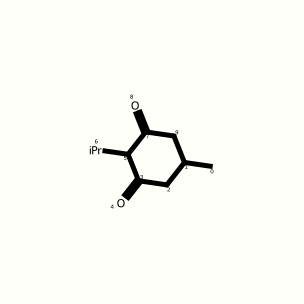 CC1CC(=O)C(C(C)C)C(=O)C1